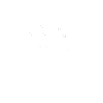 C[C@@H](n1cccn1)[C@](O)(Cn1cncn1)c1ccc(F)cc1F